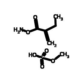 C=C(CC)C(=O)ON.COS(=O)(=O)O